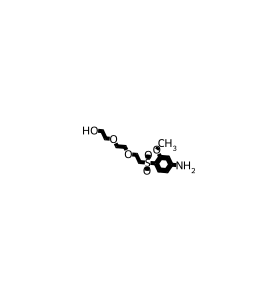 COc1cc(N)ccc1S(=O)(=O)CCOCCOCCO